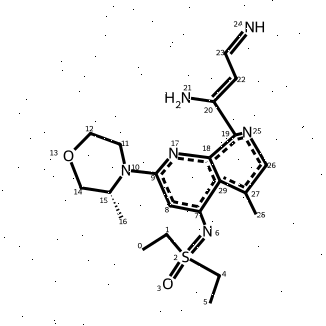 CCS(=O)(CC)=Nc1cc(N2CCOC[C@H]2C)nc2c(/C(N)=C/C=N)ncc(C)c12